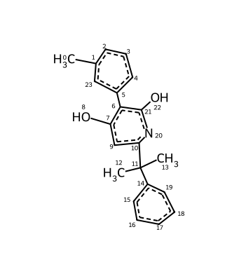 Cc1cccc(-c2c(O)cc(C(C)(C)c3ccccc3)nc2O)c1